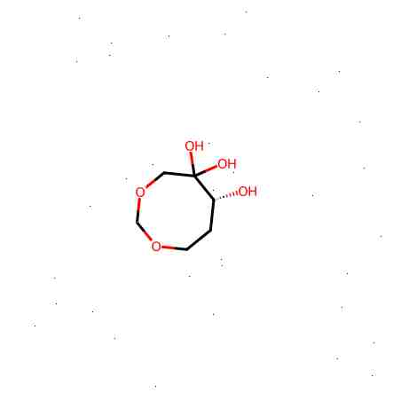 O[C@@H]1CCOCOCC1(O)O